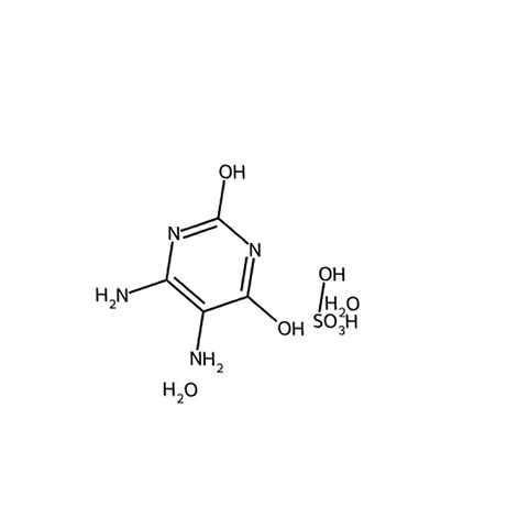 Nc1nc(O)nc(O)c1N.O.O.O=S(=O)(O)O